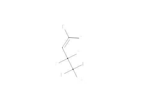 FC(F)=[C]C(F)(F)C(F)(F)C(F)(F)F